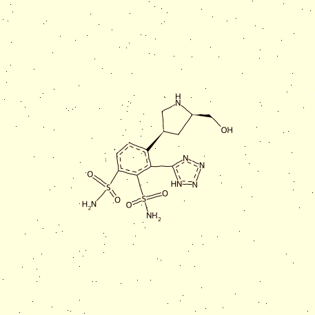 NS(=O)(=O)c1ccc([C@H]2CN[C@@H](CO)C2)c(-c2nnn[nH]2)c1S(N)(=O)=O